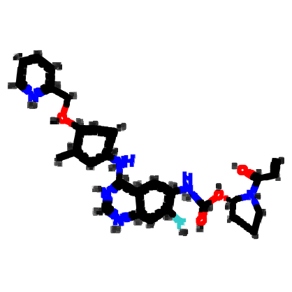 C=CC(=O)N1CCC[C@@H]1OC(=O)Nc1cc2c(Nc3ccc(OCc4ccccn4)c(C)c3)ncnc2cc1F